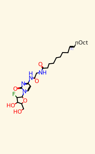 CCCCCCCC/C=C/CCCCCCCC(=O)NCC(=O)Nc1ccn(C2OC(CO)C(O)C2F)c(=O)n1